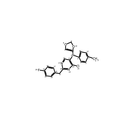 Cc1ccc(N(C2=COCO2)c2cnc(Cc3ccc(F)cc3)nc2Cl)cc1